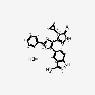 Cc1n[nH]c2ccc(-c3[nH]c(-c4ccccc4)nc3-c3n[nH]c(=O)n3C3CC3)cc12.Cl